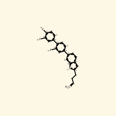 C=CCCc1cc2ccc(-c3ccc(-c4ccc(F)c(F)c4)c(F)c3)cc2s1